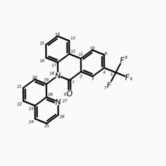 O=c1c2cc(C(F)(F)F)ccc2c2ccccc2n1-c1cccc2cccnc12